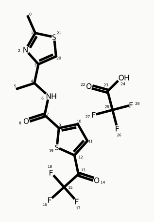 Cc1nc(C(C)NC(=O)c2ccc(C(=O)C(F)(F)F)s2)cs1.O=C(O)C(F)(F)F